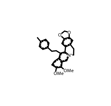 COc1ccc2c(CCc3ccc(C)cc3)c3[n+](cc2c1OC)CCc1cc2c(cc1-3)OCO2